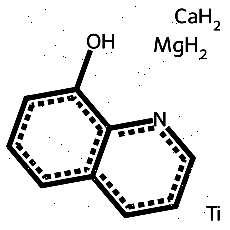 Oc1cccc2cccnc12.[CaH2].[MgH2].[Ti]